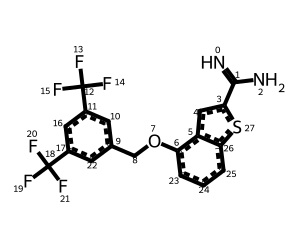 N=C(N)c1cc2c(OCc3cc(C(F)(F)F)cc(C(F)(F)F)c3)cccc2s1